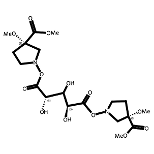 COC(=O)[C@]1(OC)CCN(OC(=O)[C@@H](O)C(O)[C@H](O)C(=O)ON2CC[C@@](OC)(C(=O)OC)C2)C1